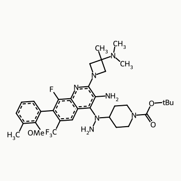 COc1c(C)cccc1-c1c(C(F)(F)F)cc2c(N(N)C3CCN(C(=O)OC(C)(C)C)CC3)c(N)c(N3CC(C)(N(C)C)C3)nc2c1F